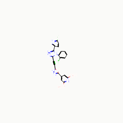 Oc1cc(-c2nnc(C#Cc3nnc(-c4ccc(Cl)nc4)n3-c3ccccc3Cl)o2)cc(O)n1